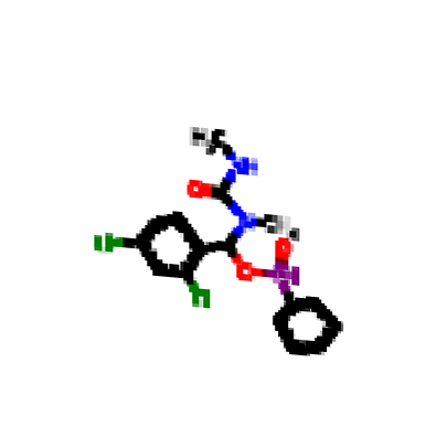 CNC(=O)N(C)C(O[PH](=O)c1ccccc1)c1ccc(Cl)cc1Cl